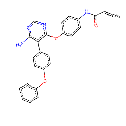 C=CC(=O)Nc1ccc(Oc2ncnc(N)c2-c2ccc(Oc3ccccc3)cc2)cc1